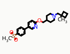 CC1(CN2CCC(COc3ccc(-c4ccc(S(C)(=O)=O)cc4)cn3)CC2)CCC1